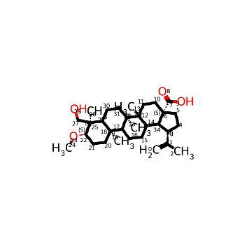 C=C(C)[C@@H]1CC[C@]2(C(=O)O)CC[C@]3(C)C(CCC4[C@@]5(C)CC[C@H](OC)[C@@](C)(CO)C5CC[C@]43C)C12